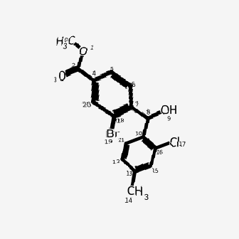 COC(=O)c1ccc(C(O)c2ccc(C)cc2Cl)c(Br)c1